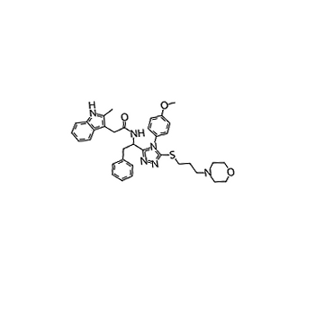 COc1ccc(-n2c(SCCCN3CCOCC3)nnc2C(Cc2ccccc2)NC(=O)Cc2c(C)[nH]c3ccccc23)cc1